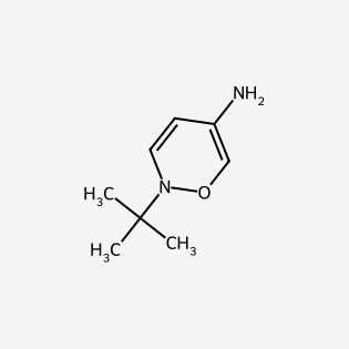 CC(C)(C)N1C=CC(N)=CO1